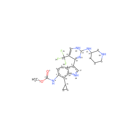 COC(=O)Nc1ccc2c(C3=NC(NC4CCCNC4)NC=C3C(F)(F)F)c[nH]c2c1C1CC1